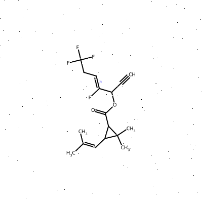 C#CC(OC(=O)C1C(C=C(C)C)C1(C)C)/C(F)=C/CC(F)(F)F